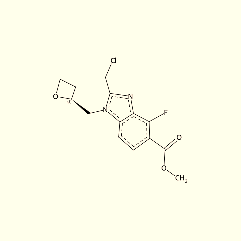 COC(=O)c1ccc2c(nc(CCl)n2C[C@@H]2CCO2)c1F